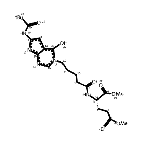 COC(=O)CC[C@H](NC(=O)CCCCn1cnc2nc(NC(=O)C(C)(C)C)cc-2c1O)C(=O)OC